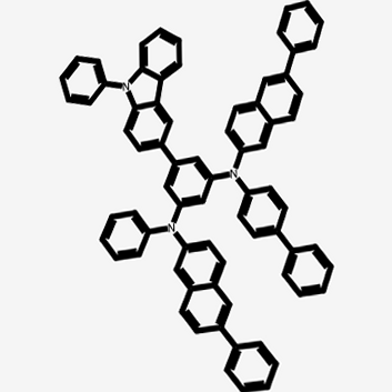 c1ccc(-c2ccc(N(c3cc(-c4ccc5c(c4)c4ccccc4n5-c4ccccc4)cc(N(c4ccccc4)c4ccc5cc(-c6ccccc6)ccc5c4)c3)c3ccc4cc(-c5ccccc5)ccc4c3)cc2)cc1